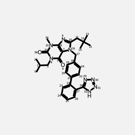 CC(C)Cn1c(=O)c2c(nc(CC(C)(C)C)n2Cc2ccc(-c3ccccc3-c3nnn[nH]3)cc2)n(C)c1=O